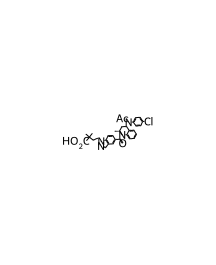 CC(=O)N(c1ccc(Cl)cc1)[C@@H]1C[C@H](C)N(C(=O)c2ccc3c(cnn3CCC(C)(C)C(=O)O)c2)c2ccccc21